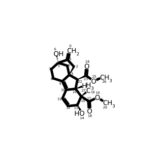 C=C1C[C@]23C[C@@]1(O)CCC2=C1C=C[C@H](O)[C@@](C)(C(=O)OC)[C@H]1[C@@H]3C(=O)OC